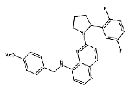 COc1ccc(CNc2ccnc3ccc(N4CCCC4c4cc(F)ccc4F)nc23)cc1